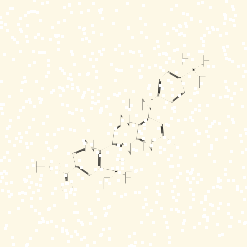 Cc1cc(Nc2ccc(C(F)(F)F)cc2)c2ncc(-c3ncc(C(=O)O)cc3C(F)(F)F)nc2n1